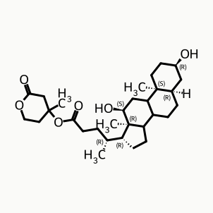 C[C@H](CCC(=O)OC1(C)CCOC(=O)C1)[C@H]1CCC2C3CC[C@@H]4C[C@H](O)CC[C@]4(C)C3C[C@H](O)[C@@]21C